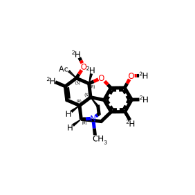 [2H]Oc1c([2H])c([2H])c2c3c1O[C@@]1([2H])[C@](O[2H])(C(C)=O)C([2H])=C[C@H]4[C@@H](C2)N(C)CC[C@@]341